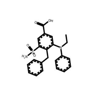 CCN(c1ccccc1)c1cc(C(=O)O)cc(S(N)(=O)=O)c1Cc1ccccc1